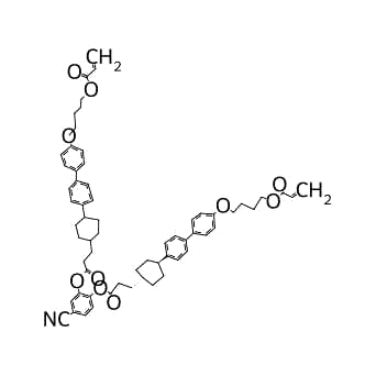 C=CC(=O)OCCCCOc1ccc(-c2ccc(C3CCC(CCC(=O)Oc4cc(C#N)ccc4OC(=O)CC[C@H]4CC[C@H](c5ccc(-c6ccc(OCCCCOC(=O)C=C)cc6)cc5)CC4)CC3)cc2)cc1